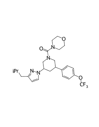 CC(C)Cc1ccn(C2CC(c3ccc(OC(F)(F)F)cc3)CN(C(=O)N3CCOCC3)C2)n1